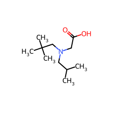 CC(C)CN(CC(=O)O)CC(C)(C)C